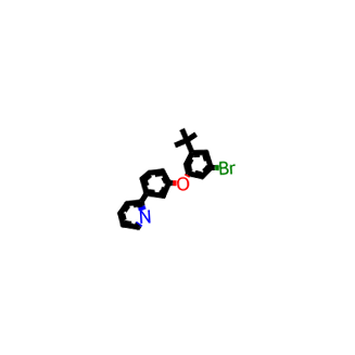 CC(C)(C)c1cc(Br)cc(Oc2cccc(-c3ccccn3)c2)c1